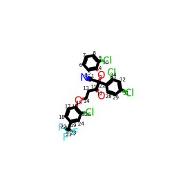 N#CC(Oc1ccccc1Cl)(C(=O)CCOc1ccc(C(F)(F)F)cc1Cl)c1ccc(Cl)cc1Cl